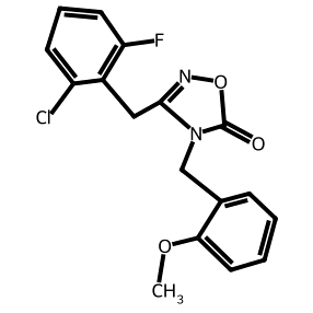 COc1ccccc1Cn1c(Cc2c(F)cccc2Cl)noc1=O